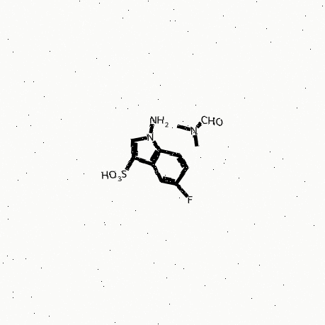 CN(C)C=O.Nn1cc(S(=O)(=O)O)c2cc(F)ccc21